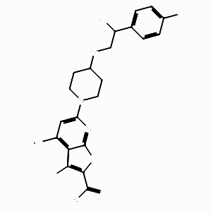 CCCc1cc(N2CCC(NCC(O)c3ccc(F)cc3)CC2)nc2sc(C(N)=O)c(N)c12